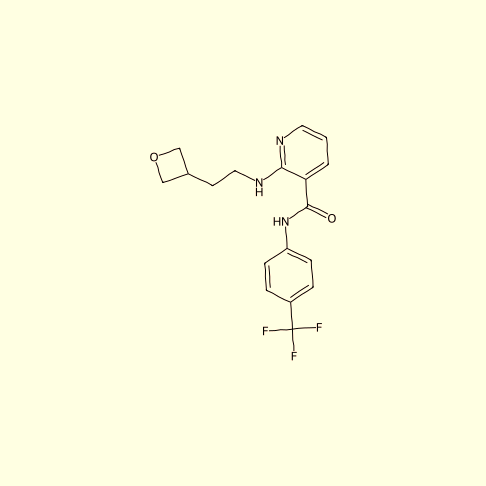 O=C(Nc1ccc(C(F)(F)F)cc1)c1cccnc1NCCC1COC1